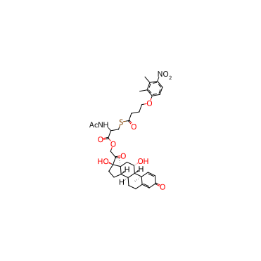 CC(=O)NC(CSC(=O)CCCOc1ccc([N+](=O)[O-])c(C)c1C)C(=O)OCC(=O)[C@@]1(O)CC[C@H]2[C@@H]3CCC4=CC(=O)C=C[C@]4(C)[C@H]3[C@@H](O)C[C@@]21C